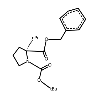 CCC[C@@]1(C(=O)OCc2ccccc2)CCCN1C(=O)OC(C)(C)C